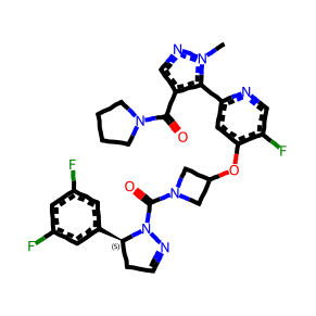 Cn1ncc(C(=O)N2CCCC2)c1-c1cc(OC2CN(C(=O)N3N=CC[C@H]3c3cc(F)cc(F)c3)C2)c(F)cn1